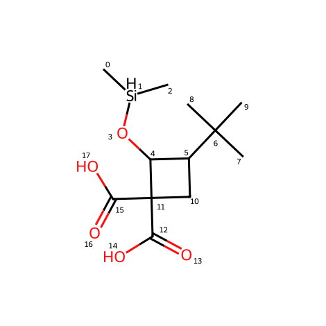 C[SiH](C)OC1C(C(C)(C)C)CC1(C(=O)O)C(=O)O